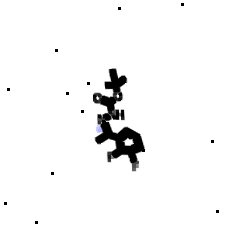 C/C(=N/NC(=O)OC(C)(C)C)c1cccc(F)c1F